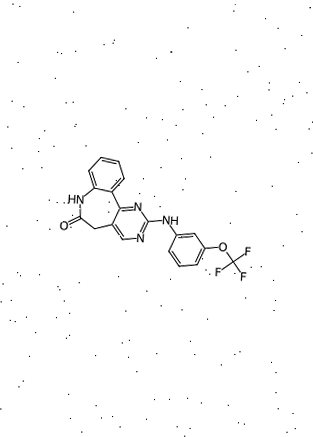 O=C1Cc2cnc(Nc3cccc(OC(F)(F)F)c3)nc2-c2ccccc2N1